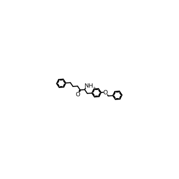 NC(Cc1ccc(OCc2ccccc2)cc1)C(=O)CCCc1ccccc1